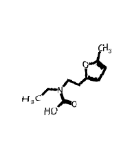 CCN(CCc1ccc(C)o1)C(=O)O